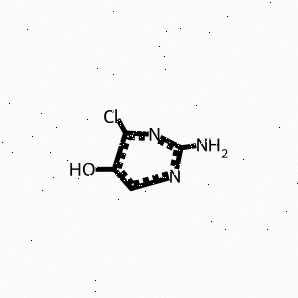 Nc1ncc(O)c(Cl)n1